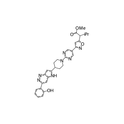 COC(=O)C(c1cc(-c2cnc(N3CCC(c4cc5nnc(-c6ccccc6O)cc5[nH]4)CC3)nc2)no1)C(C)C